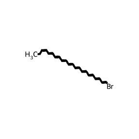 CC/C=C\C=CC=CC=CC=CC=CC=CC=CC=CC=CBr